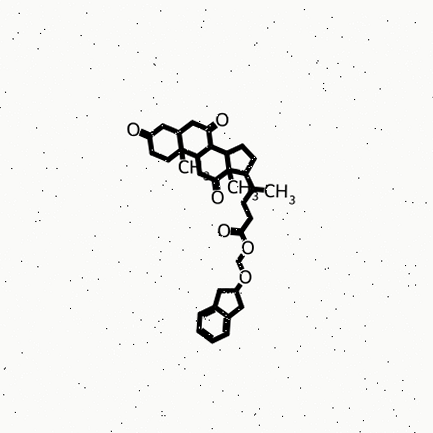 CC(CCC(=O)OCOC1Cc2ccccc2C1)C1CCC2C3C(=O)CC4CC(=O)CCC4(C)C3CC(=O)C12C